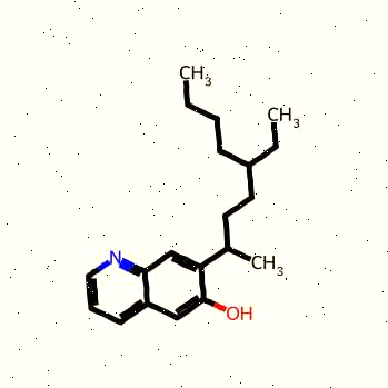 CCCCC(CC)CCC(C)c1cc2ncccc2cc1O